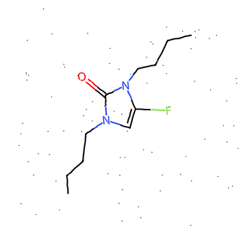 CCCCn1cc(F)n(CCCC)c1=O